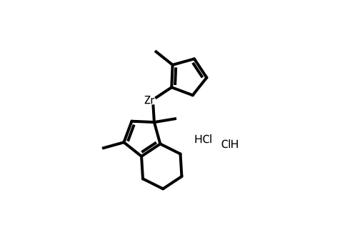 CC1=C[C](C)([Zr][C]2=C(C)C=CC2)C2=C1CCCC2.Cl.Cl